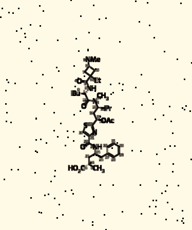 CC[C@H](C)[C@H](NC(=O)C1(CC)CC(NC)C1)C(=O)N(C)[C@H](C[C@@H](OC(C)=O)c1nc(C(=O)N[C@@H](Cc2ccccc2)C[C@H](C)C(=O)O)cs1)C(C)C